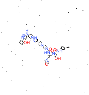 C#Cc1ccc(CNC(=O)[C@@H]2C[C@@H](O)CN2C(=O)[C@H](NC(=O)N2CCC(N3CCC(c4cnc(N5CCc6[nH]c7nnc(-c8ccccc8O)cc7c6[C@H]5C)nc4)CC3)CC2)C(C)(C)CCN2CCOCC2)cc1